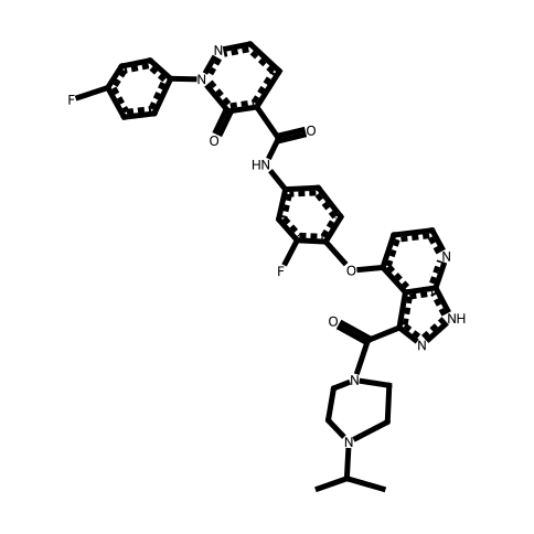 CC(C)N1CCN(C(=O)c2n[nH]c3nccc(Oc4ccc(NC(=O)c5ccnn(-c6ccc(F)cc6)c5=O)cc4F)c23)CC1